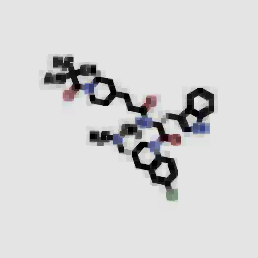 CC(=O)OC(C)(C)C(=O)N1CCC(CCC(=O)N[C@H](Cc2c[nH]c3ccccc23)C(=O)N2C[C@@H](CN(C)C)Cc3cc(Cl)ccc32)CC1